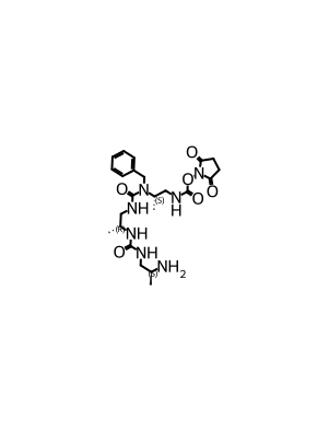 C[C@H](N)CNC(=O)N[C@H](C)CNC(=O)N(Cc1ccccc1)[C@@H](C)CNC(=O)ON1C(=O)CCC1=O